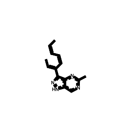 C\C=C/C=C\C(=C/C)c1n[nH]c2cnc(C)nc12